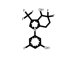 Oc1cc(F)cc(-n2cc(C(F)(F)F)c3c2CCC(F)(F)C3O)c1